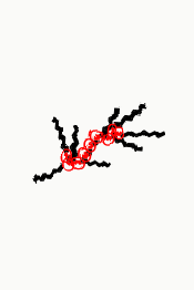 CCCCCCCCOC(CCCCCC)(OCCCCCCCC)OC(CCCCC)OCOCOC(CCCCC)OC(CCCCCC)(OCCCCCCCC)OCCCCCCCC